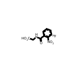 O=C(O)CNC(=O)c1cccc([18F])c1[N+](=O)[O-]